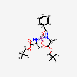 C[C@H](NP(=O)(N[C@@H](C)C(=O)OCC(C)(C)C)OCc1ccccc1)C(=O)OCC(C)(C)C